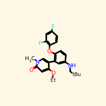 CCOc1cc(=O)n(C)cc1-c1cc(NCC(C)(C)C)ccc1Oc1ccc(F)cc1F